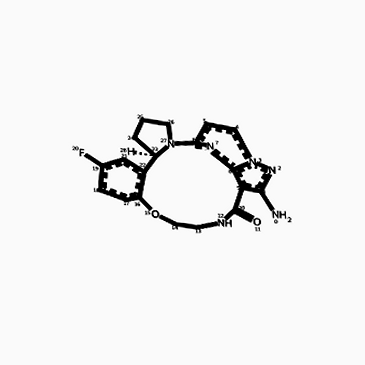 Nc1nn2ccc3nc2c1C(=O)NCCOc1ccc(F)cc1[C@H]1CCCN31